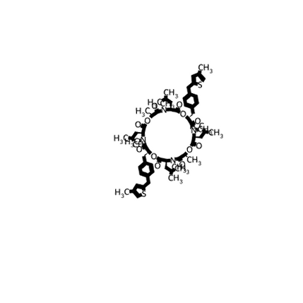 Cc1csc(Cc2ccc(C[C@H]3OC(=O)[C@H](CC(C)C)N(C)C(=O)[C@@H](C)OC(=O)[C@H](CC(C)C)N(C)C(=O)[C@@H](Cc4ccc(Cc5cc(C)cs5)cc4)OC(=O)[C@H](CC(C)C)N(C)C(=O)[C@@H](C)OC(=O)[C@H](CC(C)C)N(C)C3=O)cc2)c1